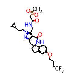 CS(=O)(=O)CC(=O)NCc1c2c(nn1CCC1CC1)C[C@]1(CCc3cc(OCCCC(F)(F)F)ccc31)NC2=O